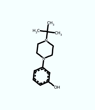 CC(C)(C)N1CCN(c2cccc(O)c2)CC1